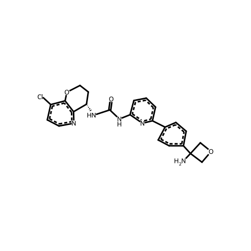 NC1(c2ccc(-c3cccc(NC(=O)N[C@H]4CCOc5c(Cl)ccnc54)n3)cc2)COC1